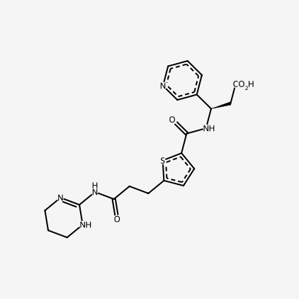 O=C(O)C[C@@H](NC(=O)c1ccc(CCC(=O)NC2=NCCCN2)s1)c1cccnc1